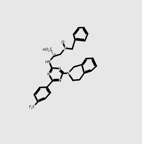 O=C(O)[C@H](C[S+]([O-])Cc1ccccc1)Nc1nc(-c2ccc(C(F)(F)F)cc2)nc(N2CCc3ccccc3C2)n1